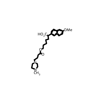 COc1ccc2cc(C(CCCCCOC(=O)CCCN3CCN(C)CC3)C(=O)O)ccc2c1